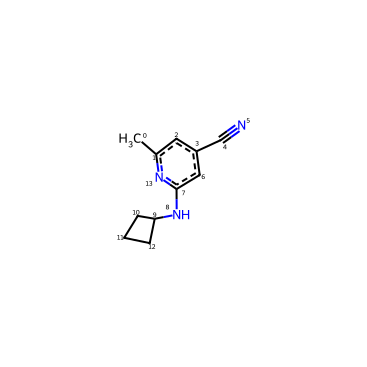 Cc1cc(C#N)cc(NC2CCC2)n1